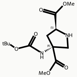 COC(=O)[C@@H]1C[C@](NC(=O)OC(C)(C)C)(C(=O)OC)CN1